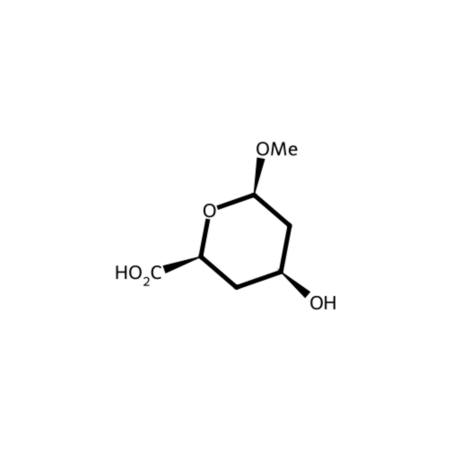 CO[C@H]1C[C@@H](O)C[C@@H](C(=O)O)O1